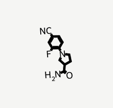 N#Cc1ccc(N2CCC(C(N)=O)C2)c(F)c1